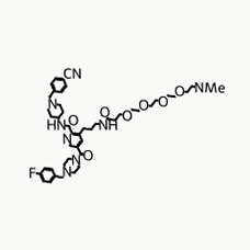 CNCCOCCOCCOCCOCCC(=O)NCCCc1cc(C(=O)N2CCN(Cc3ccc(F)cc3)CC2)cnc1C(=O)NC1CCN(Cc2ccc(C#N)cc2)CC1